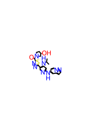 CC(C)Nc1cc(Nc2ccn3nccc3c2)ncc1-c1nnc(C(=O)N2CCC(O)C2)s1